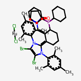 Cc1cc(C)c(N2C(Br)=C(Br)N(c3c(C)cc(C)cc3C)C2=C2CCCC(P(C3CCCCC3)C3CCCCC3)C2=CN2CCCC2=O)c(C)c1.[Cl][Ru][Cl]